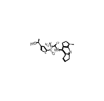 CC(O)c1csc([S@@+]([O-])N(N)C(=O)Nc2c3c(nc4c2CC[C@H]4C)CCC3)c1